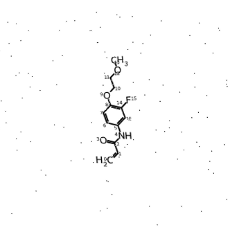 C=CC(=O)Nc1ccc(OCCOC)c(F)c1